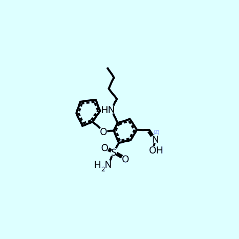 CCCCNc1cc(/C=N\O)cc(S(N)(=O)=O)c1Oc1ccccc1